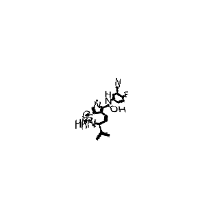 CC(C)[C@@H]1C=Cc2c(cn(C)c2C(O)Nc2ccc(F)c(C#N)c2)S(=N)(=O)N1